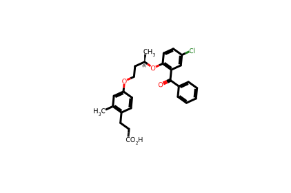 Cc1cc(OCC[C@@H](C)Oc2ccc(Cl)cc2C(=O)c2ccccc2)ccc1CCC(=O)O